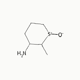 CC1C(N)CCC[S+]1[O-]